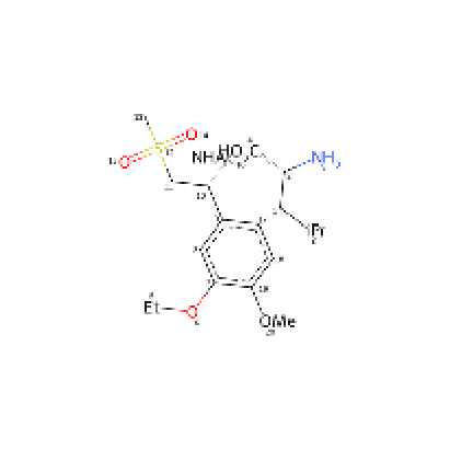 CC(C)C[C@@H](N)C(=O)O.CCOc1cc([C@H](CS(C)(=O)=O)NC(C)=O)ccc1OC